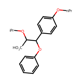 CCCOc1ccc(C(Oc2ccccc2)C(OC(C)C)C(=O)O)cc1